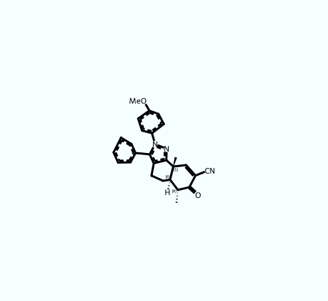 COc1ccc(-n2nc3c(c2-c2ccccc2)CC[C@@H]2[C@@H](C)C(=O)C(C#N)=C[C@@]32C)cc1